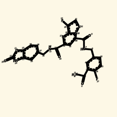 NC(=O)c1cc(CNC(=O)c2cc(C(=O)NCc3ccc4oc(=O)[nH]c4c3)nc3c(F)cnn23)ccc1F